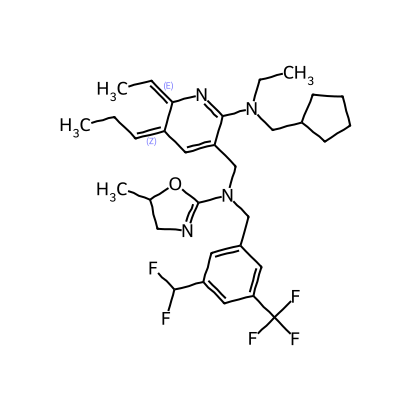 C/C=c1/nc(N(CC)CC2CCCC2)c(CN(Cc2cc(C(F)F)cc(C(F)(F)F)c2)C2=NCC(C)O2)c/c1=C/CC